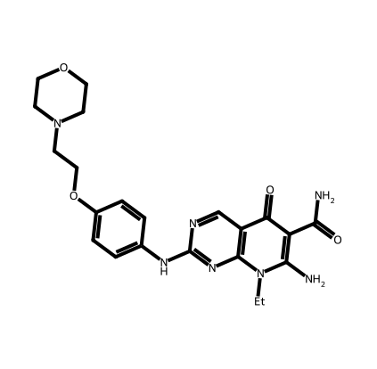 CCn1c(N)c(C(N)=O)c(=O)c2cnc(Nc3ccc(OCCN4CCOCC4)cc3)nc21